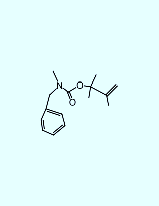 C=C(C)C(C)(C)OC(=O)N(C)Cc1ccccc1